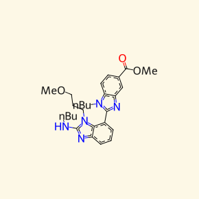 CCCCNc1nc2cccc(-c3nc4cc(C(=O)OC)ccc4n3CCCC)c2n1CCCOC